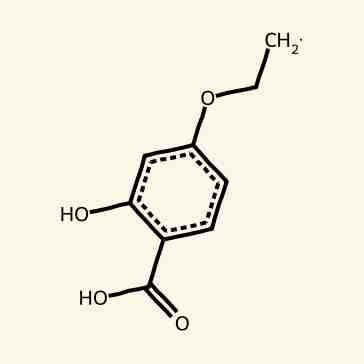 [CH2]COc1ccc(C(=O)O)c(O)c1